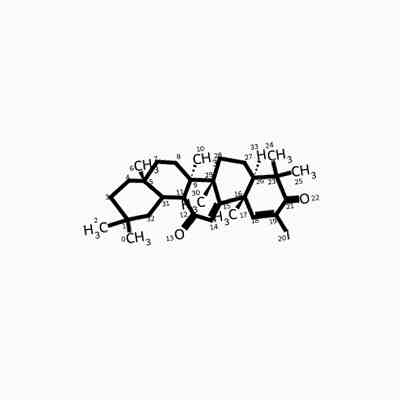 CC1(C)CC[C@]2(C)CC[C@]3(C)C(C(=O)C=C4[C@@]5(C)C=C(I)C(=O)C(C)(C)[C@@H]5CC[C@]43C)C2C1